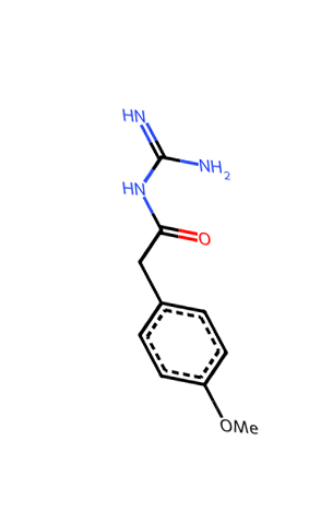 COc1ccc(CC(=O)NC(=N)N)cc1